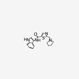 O=C(Nc1c[nH]c2ccccc12)c1cnc(CN2CCCC2)s1